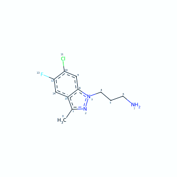 Cc1nn(CCCN)c2cc(Cl)c(F)cc12